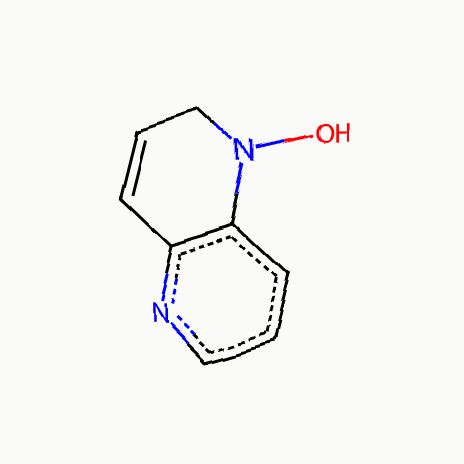 ON1CC=Cc2ncccc21